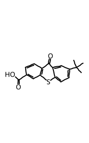 CC(C)(C)c1ccc2sc3cc(C(=O)O)ccc3c(=O)c2c1